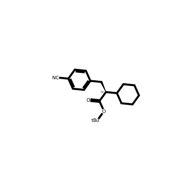 CC(C)(C)OC(=O)[C@@H](Cc1ccc(C#N)cc1)C1CCCCC1